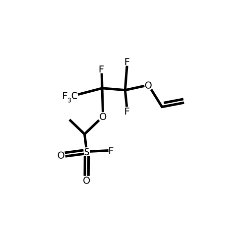 C=COC(F)(F)C(F)(OC(C)S(=O)(=O)F)C(F)(F)F